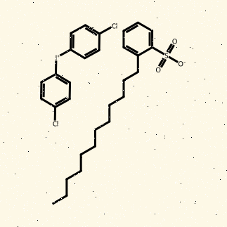 CCCCCCCCCCCCc1ccccc1S(=O)(=O)[O-].Clc1ccc([I+]c2ccc(Cl)cc2)cc1